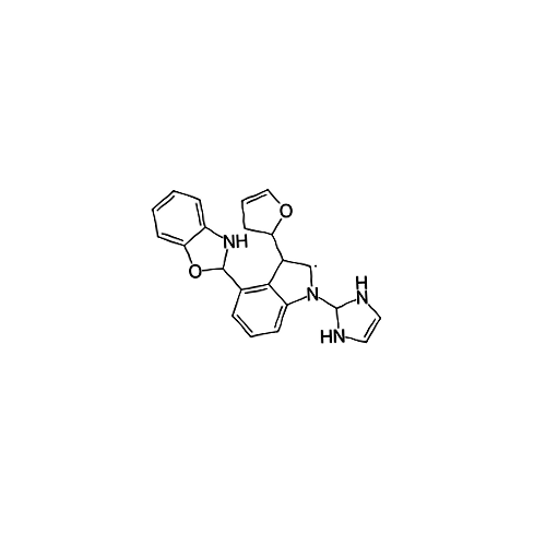 [CH]1C(C2CC=CO2)c2c(C3Nc4ccccc4O3)cccc2N1C1NC=CN1